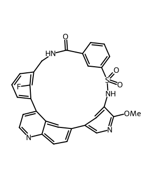 COc1ncc2cc1NS(=O)(=O)c1cccc(c1)C(=O)NCc1cccc(c1F)-c1ccnc3ccc-2cc13